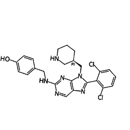 Oc1ccc(CNc2ncc3nc(-c4c(Cl)cccc4Cl)n(C[C@@H]4CCCNC4)c3n2)cc1